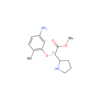 CC(C)(C)OC(=O)[C@@H](Oc1cc(N)ccc1C(C)(C)C)C1CCCN1